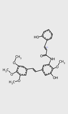 COc1cc(C=Cc2cc(O)c(OC)c(NC(=O)/C=C/c3ccccc3O)c2)cc(OC)c1OC